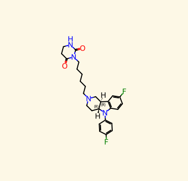 O=C1CCNC(=O)N1CCCCCCN1CC[C@@H]2[C@@H](C1)c1cc(F)ccc1N2c1ccc(F)cc1